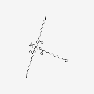 CCCCCCCCCCCC(=O)OCC(COC(=O)CCCCCCCCCCC)(COC(=O)CCCCCCCCCCC)C[N+](C)(C)C.[Cl-]